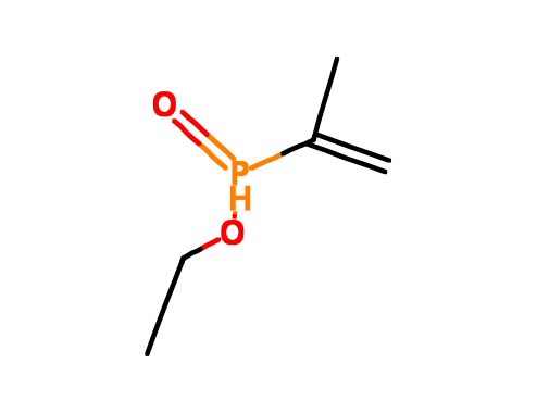 C=C(C)[PH](=O)OCC